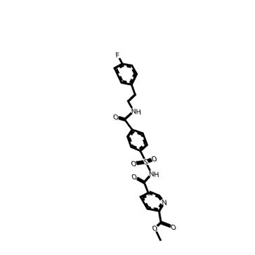 COC(=O)c1ccc(C(=O)NS(=O)(=O)c2ccc(C(=O)NCCc3ccc(F)cc3)cc2)cn1